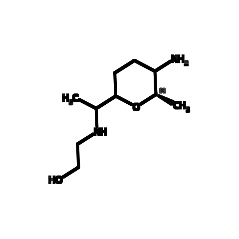 CC(NCCO)C1CCC(N)[C@@H](C)O1